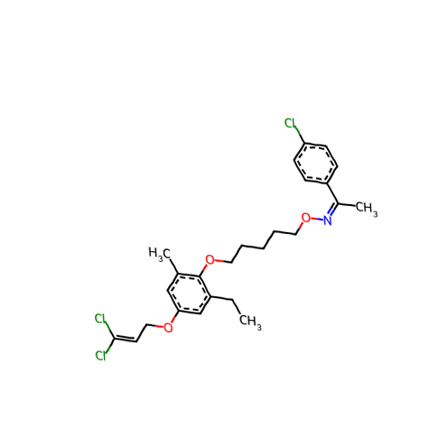 CCc1cc(OCC=C(Cl)Cl)cc(C)c1OCCCCCON=C(C)c1ccc(Cl)cc1